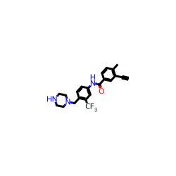 C#Cc1cc(C(=O)Nc2ccc(CN3CCNCC3)c(C(F)(F)F)c2)ccc1C